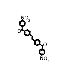 O=C(c1ccc(CCc2ccc(C(=O)c3ccc([N+](=O)[O-])cc3)cc2)cc1)c1ccc([N+](=O)[O-])cc1